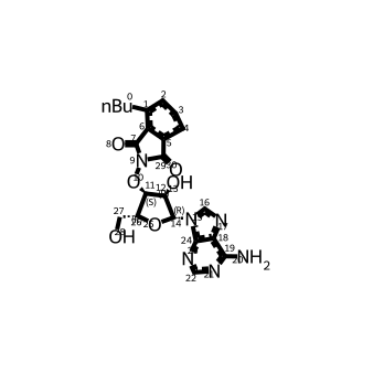 CCCCc1cccc2c1C(=O)N(O[C@H]1[C@@H](O)[C@H](n3cnc4c(N)ncnc43)O[C@@H]1CO)C2=O